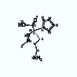 CN=N[C@@](CCCN)(C(=O)O)c1cccs1